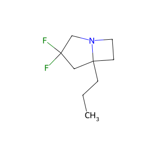 CCCC12CCN1CC(F)(F)C2